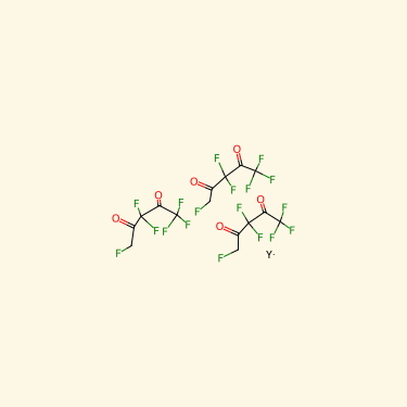 O=C(CF)C(F)(F)C(=O)C(F)(F)F.O=C(CF)C(F)(F)C(=O)C(F)(F)F.O=C(CF)C(F)(F)C(=O)C(F)(F)F.[Y]